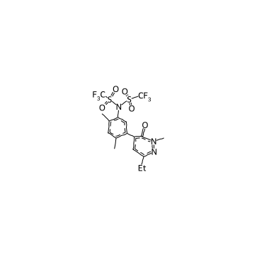 CCc1cc(-c2cc(N(S(=O)(=O)C(F)(F)F)S(=O)(=O)C(F)(F)F)c(C)cc2C)c(=O)n(C)n1